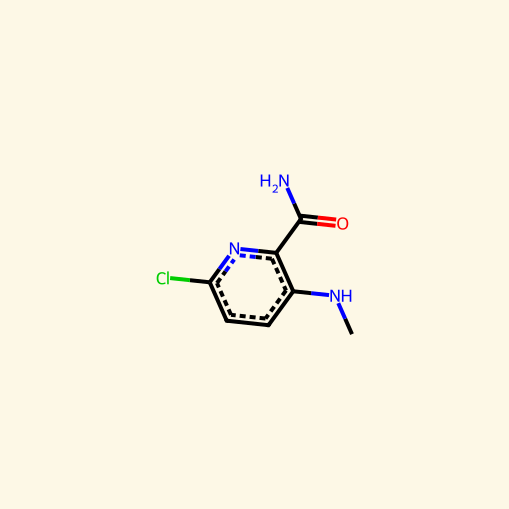 CNc1ccc(Cl)nc1C(N)=O